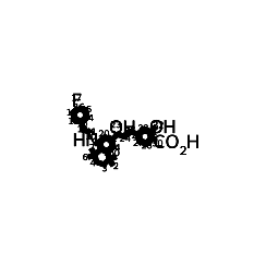 CC1(C)CCC(C)(C)c2c(NCCc3ccc(F)cc3)cc(C(O)C=Cc3ccc(C(=O)O)c(O)c3)cc21